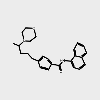 CC(CCCc1ccc(C(=O)Nc2cccc3ccccc23)cc1)N1CCOCC1